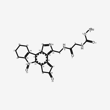 CC(C)(C)OC(=O)NCC(=O)NCC1=c2c(c3c(c4c2=CC(=O)C4)[N+](=O)C2=C3CCCC2)C=N1